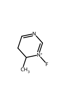 CC1CC=NC=[N+]1F